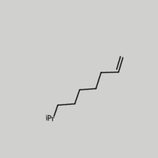 [CH2]C([CH2])CCCCCC=C